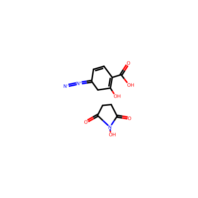 O=C1CCC(=O)N1O.[N-]=[N+]=C1C=CC(C(=O)O)=C(O)C1